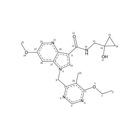 CCOc1ncnc(Cn2cc(C(=O)NCC3(O)CC3)c3ncc(OC)cc32)c1C